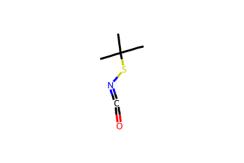 CC(C)(C)SN=C=O